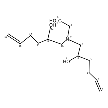 C=CCCC(O)CN(CC(=O)O)CC(O)CCC=C